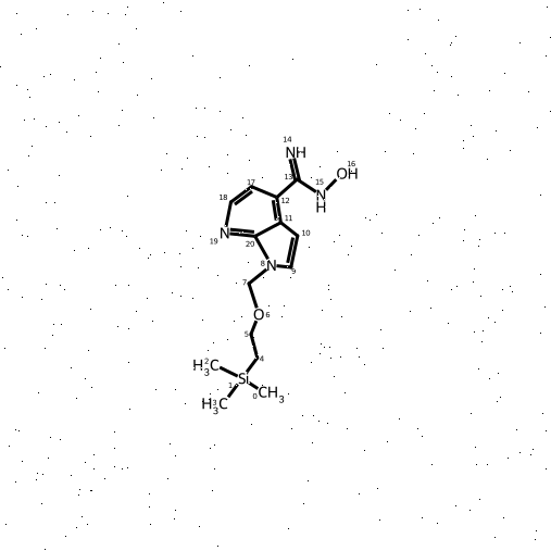 C[Si](C)(C)CCOCn1ccc2c(C(=N)NO)ccnc21